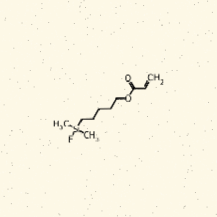 C=CC(=O)OCCCCC[Si](C)(C)F